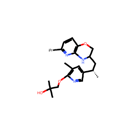 Cc1cc([C@@H](C)CC2COc3ccc(C(C)C)nc3N2)cnc1OCC(C)(C)O